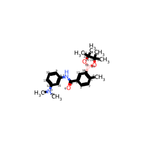 Cc1ccc(C(=O)Nc2cccc(N(C)C)c2)cc1B1OC(C)(C)C(C)(C)O1